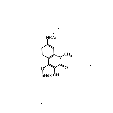 CCCCCCOc1c(O)c(=O)n(C)c2cc(NC(C)=O)ccc12